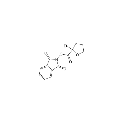 CCC1(C(=O)ON2C(=O)c3ccccc3C2=O)CCCO1